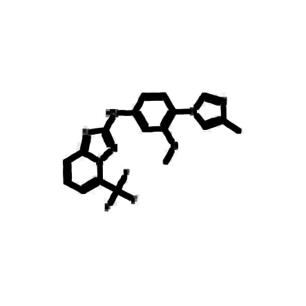 COc1cc(Nc2nc3cccc(C(F)(F)F)n3n2)ccc1-n1cnc(C)c1